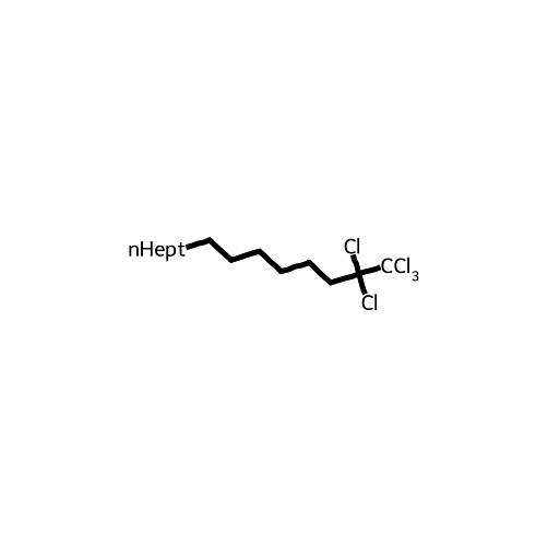 CCCCCCCCCCCCCC(Cl)(Cl)C(Cl)(Cl)Cl